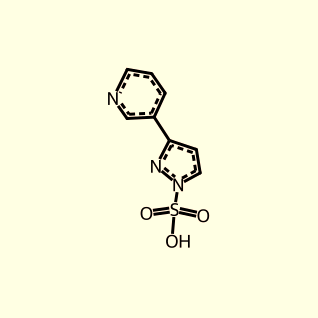 O=S(=O)(O)n1ccc(-c2cccnc2)n1